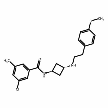 COc1ccc(CCN[C@H]2C[C@H](NC(=O)c3cc(C)cc(Cl)c3)C2)cc1